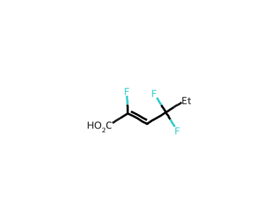 CCC(F)(F)/C=C(\F)C(=O)O